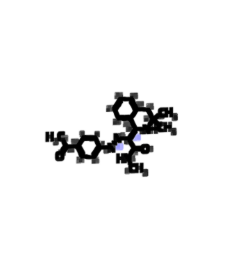 CNC(=O)C(/N=N/c1ccc(C(C)=O)cc1)=C1\NC(C)(C)Cc2ccccc21